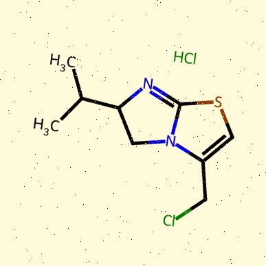 CC(C)C1CN2C(CCl)=CSC2=N1.Cl